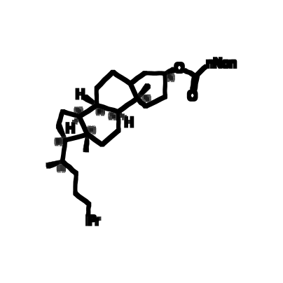 CCCCCCCCCC(=O)O[C@H]1CC[C@@]2(C)C(CC[C@H]3[C@@H]4CC[C@H]([C@H](C)CCCC(C)C)[C@@]4(C)CC[C@@H]32)C1